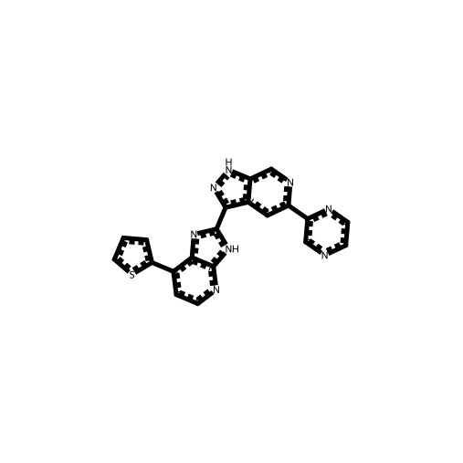 c1csc(-c2ccnc3[nH]c(-c4n[nH]c5cnc(-c6cnccn6)cc45)nc23)c1